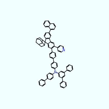 c1ccc(-c2ccc(N(c3ccc(-c4ccc(-c5cc6c(cc5-c5ccncc5)-c5cc(-c7cccc8ccccc78)ccc5C65C6CC7CC(C6)CC5C7)cc4)cc3)c3cc(-c4ccccc4)cc(-c4ccccc4)c3)cc2)cc1